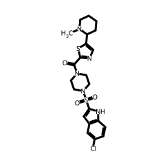 CN1CCCCC1c1cnc(C(=O)N2CCN(S(=O)(=O)c3cc4cc(Cl)ccc4[nH]3)CC2)s1